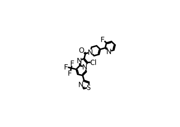 O=C(c1nc2c(C(F)(F)F)cc(-c3cscn3)cn2c1Cl)N1CC=C(c2ncccc2F)CC1